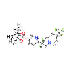 CC1(C)OB(c2ccc(C(F)(F)CN3CCC(C(F)(F)F)CC3)nc2)OC1(C)C